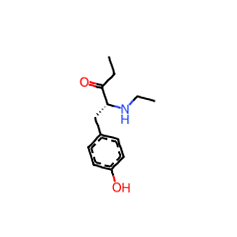 CCN[C@H](Cc1ccc(O)cc1)C(=O)CC